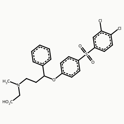 CN(CCC(Oc1ccc(S(=O)(=O)c2ccc(Cl)c(Cl)c2)cc1)c1ccccc1)CC(=O)O